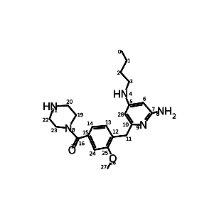 CCCCNc1cc(N)nc(Cc2ccc(C(=O)N3CCNCC3)cc2OC)c1